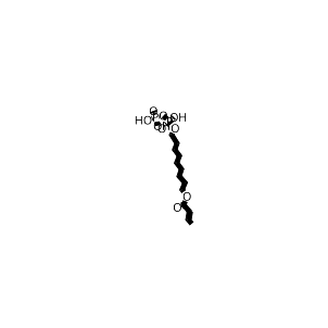 CC=CC(=O)OCCCCCCCCCOP(=O)(O)OP(=O)(O)O